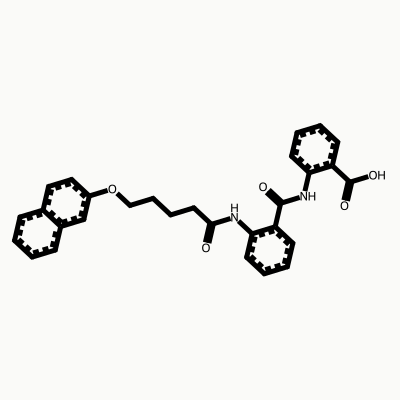 O=C(CCCCOc1ccc2ccccc2c1)Nc1ccccc1C(=O)Nc1ccccc1C(=O)O